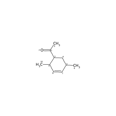 CC(=O)C1CC(C)C=CC1C